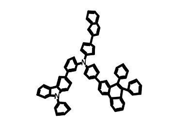 c1ccc(-c2c(-c3ccccc3)c3cc(-c4ccc(N(c5ccc(-c6ccc7ccccc7c6)cc5)c5cccc(-c6ccc7c(c6)c6ccccc6n7-c6ccccc6)c5)cc4)ccc3c3ccccc23)cc1